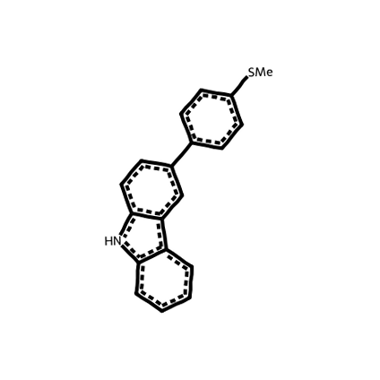 CSc1ccc(-c2ccc3[nH]c4ccccc4c3c2)cc1